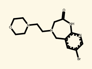 O=C1CN(CCN2CCOCC2)Cc2cc(Br)cnc2N1